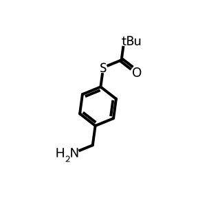 CC(C)(C)C(=O)Sc1ccc(CN)cc1